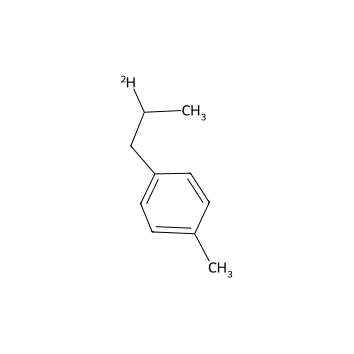 [2H]C(C)Cc1ccc(C)cc1